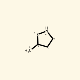 CC1C[CH]NS1